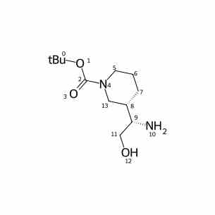 CC(C)(C)OC(=O)N1CCC[C@H]([C@H](N)CO)C1